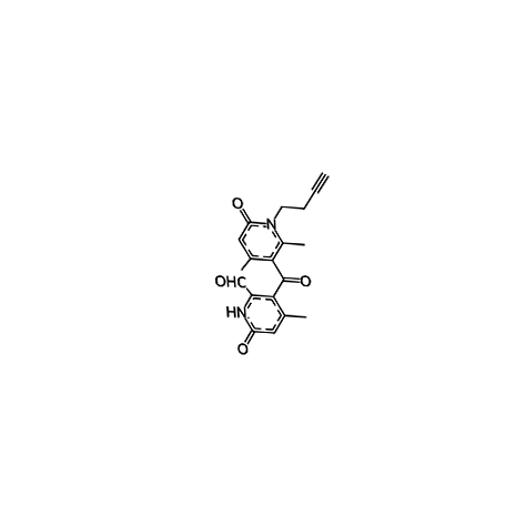 C#CCCn1c(C)c(C(=O)c2c(C)cc(=O)[nH]c2C=O)c(C)cc1=O